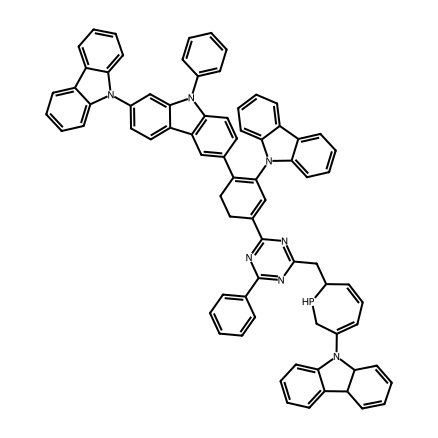 C1=CC(Cc2nc(C3=CC(n4c5ccccc5c5ccccc54)=C(c4ccc5c(c4)c4ccc(-n6c7ccccc7c7ccccc76)cc4n5-c4ccccc4)CC3)nc(-c3ccccc3)n2)PCC(N2c3ccccc3C3C=CC=CC32)=C1